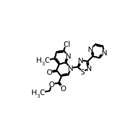 CCOC(=O)c1cn(-c2nc(-c3cnccn3)ns2)c2nc(Cl)cc(C)c2c1=O